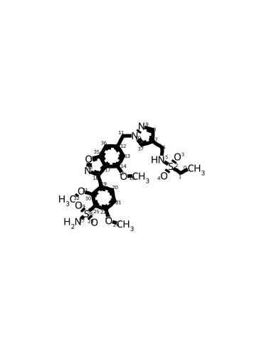 CCS(=O)(=O)NCc1cnn(Cc2cc(OC)c3c(-c4ccc(OC)c(S(N)(=O)=O)c4OC)noc3c2)c1